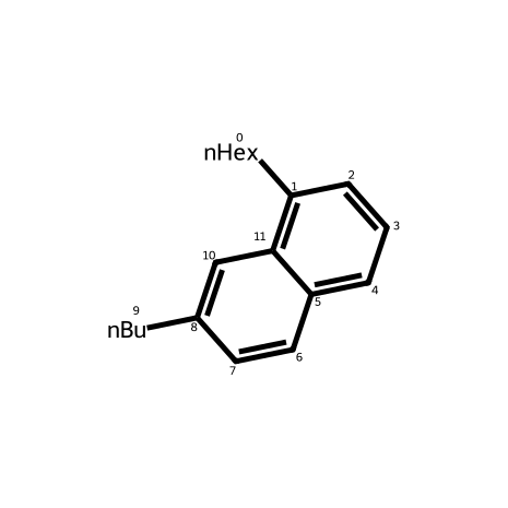 CCCCCCc1cccc2ccc(CCCC)cc12